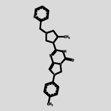 Cc1ccc(N2C=C3N=C(C4CN(Cc5ccccn5)CC4C)NC(=O)N3C2)cc1